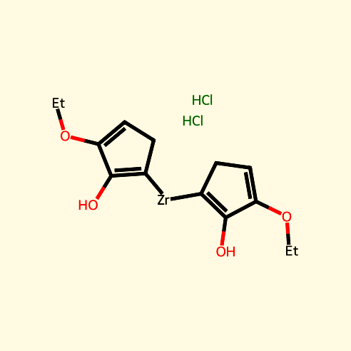 CCOC1=CC[C]([Zr][C]2=C(O)C(OCC)=CC2)=C1O.Cl.Cl